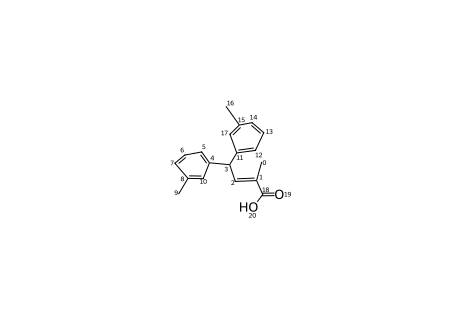 C/C(=C\C(c1cccc(C)c1)c1cccc(C)c1)C(=O)O